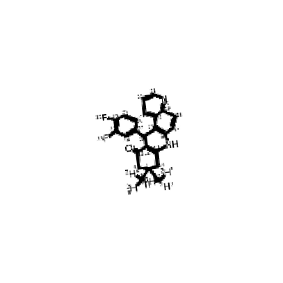 [2H]C([2H])([2H])C1(C([2H])([2H])[2H])CC(=O)C2=C(C1)Nc1ccc3ncccc3c1C2c1ccc(F)c(F)c1